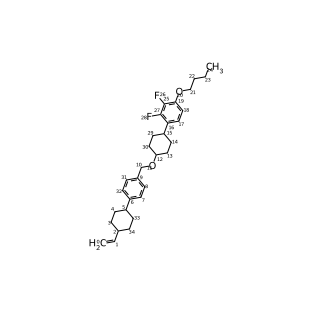 C=CC1CCC(c2ccc(COC3CCC(c4ccc(OCCCC)c(F)c4F)CC3)cc2)CC1